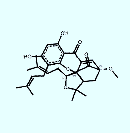 CO[C@]12C=C3C(=O)c4c(O)cc(O)c(CC=C(C)C)c4O[C@]34C(C1)C(C)(C)O[C@]4(CC=C(C)C)C2=O